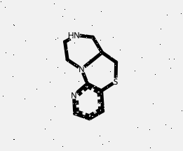 c1cnc2c(c1)SCC1CNCCN21